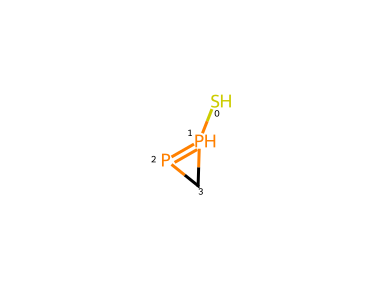 S[PH]1=PC1